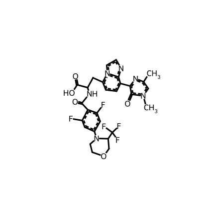 Cc1cn(C)c(=O)c(-c2ccc(CC(NC(=O)c3c(F)cc(N4CCOCC4C(F)(F)F)cc3F)C(=O)O)n3ccnc23)n1